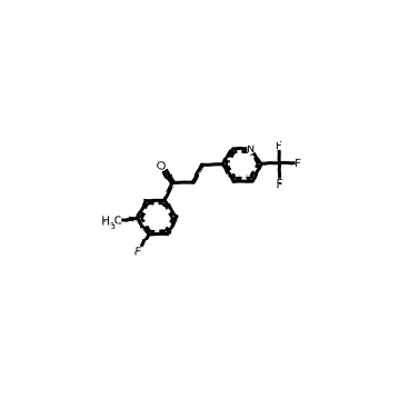 Cc1cc(C(=O)CCc2ccc(C(F)(F)F)nc2)ccc1F